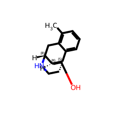 Cc1cccc2c1C[C@H]1NCC[C@@]23CC(O)CC[C@@H]13